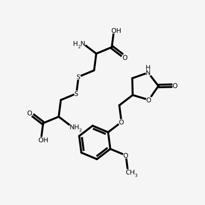 COc1ccccc1OCC1CNC(=O)O1.NC(CSSCC(N)C(=O)O)C(=O)O